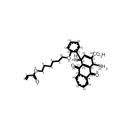 C=CC(=O)OCCCCCCOc1ccccc1C1(N)C=C(C(=O)O)C(N)C2=C1C(=O)c1ccccc1C2=O